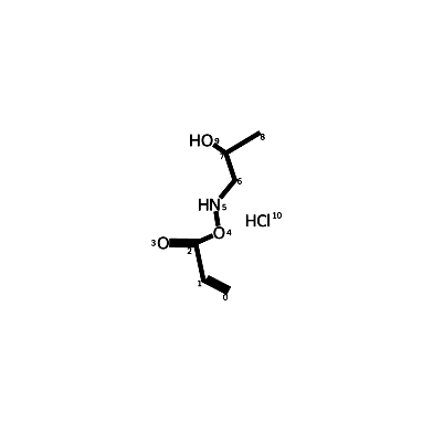 C=CC(=O)ONCC(C)O.Cl